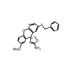 COc1ccc2c(c1)[C@@]1(COC(N)=N1)c1cc(SCc3ccccc3)cnc1O2